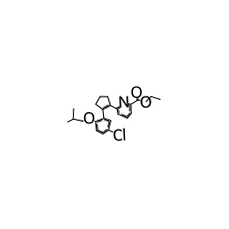 CCOC(=O)c1cccc(C2=C(c3cc(Cl)ccc3OCC(C)C)CCC2)n1